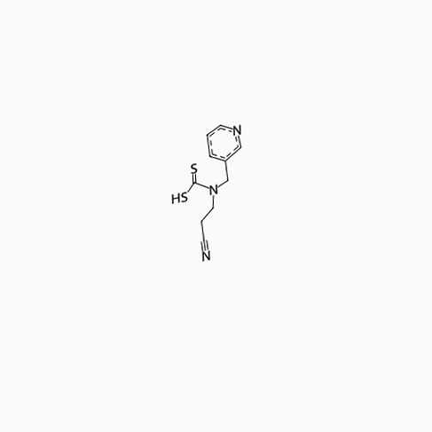 N#CCCN(Cc1cccnc1)C(=S)S